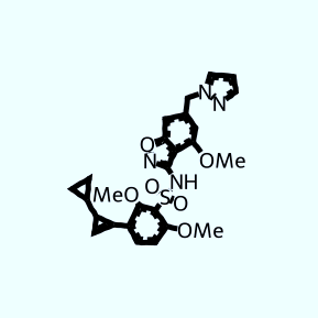 COc1ccc(C2=CC2C2CC2)c(OC)c1S(=O)(=O)Nc1noc2cc(Cn3cccn3)cc(OC)c12